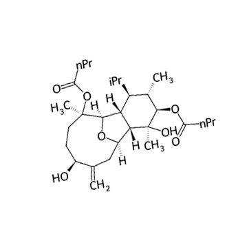 C=C1C[C@H]2O[C@H]([C@@H]3[C@@H](C(C)C)[C@H](C)[C@@H](OC(=O)CCC)[C@@](C)(O)[C@@H]32)[C@](C)(OC(=O)CCC)CC[C@@H]1O